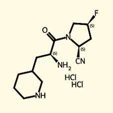 Cl.Cl.N#C[C@@H]1C[C@H](F)CN1C(=O)[C@@H](N)CC1CCCNC1